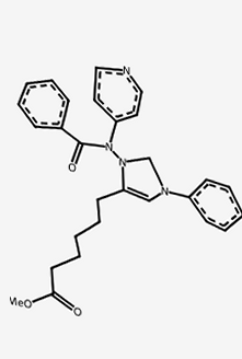 COC(=O)CCCCCC1=CN(c2ccccc2)CN1N(C(=O)c1ccccc1)c1ccncc1